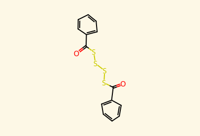 O=C(SSSSC(=O)c1ccccc1)c1ccccc1